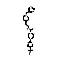 C[C@@H]1CN(c2ncc(C(F)(F)F)cn2)CCN1C(=O)NCCC1CCN(Cc2cncnc2)CC1